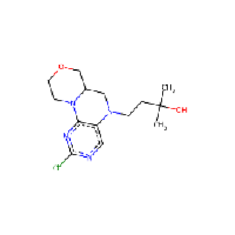 CC(C)(O)CCN1CC2COCCN2c2nc(Cl)ncc21